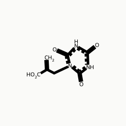 C=C(Cn1c(=O)[nH]c(=O)[nH]c1=O)C(=O)O